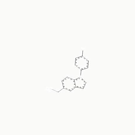 NCc1ccc2c(ccn2-c2ccc(F)cc2)c1